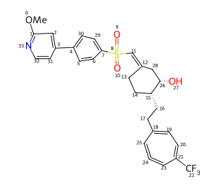 COc1cc(-c2ccc(S(=O)(=O)/C=C3\CC[C@@H](CCC4=CC=C(C(F)(F)F)C=C=C4)[C@@H](O)C3)cc2)ccn1